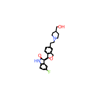 O=C1Nc2ccc(F)cc2C1=C1OCc2cc(CCN3CCC(CO)CC3)ccc21